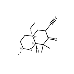 CC[C@@]12CC[C@@H](C)O[C@H]1C(C)(C)C(=O)C(C#N)C2